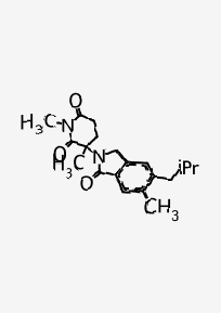 Cc1cc2c(cc1CC(C)C)CN(C1(C)CCC(=O)N(C)C1=O)C2=O